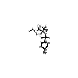 CCOC(=O)C(O)(CC(C)(C)c1ccc(Br)cc1)C(F)(F)F